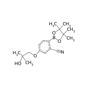 CC(C)(O)COc1ccc(B2OC(C)(C)C(C)(C)O2)c(C#N)c1